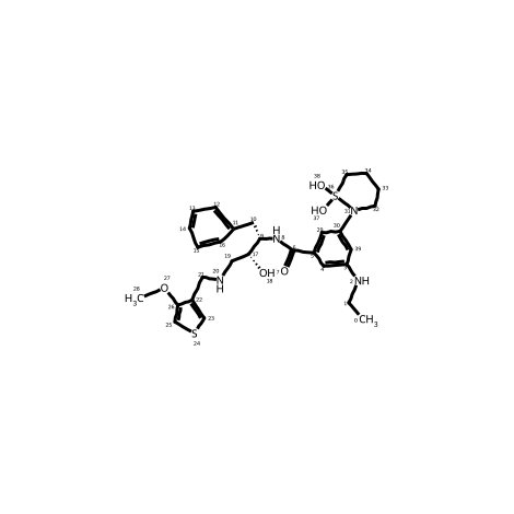 CCNc1cc(C(=O)N[C@@H](Cc2ccccc2)[C@H](O)CNCc2cscc2OC)cc(N2CCCCS2(O)O)c1